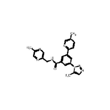 Cc1ccc(-c2cc(C(=O)NCc3cnc(C)cn3)cc(-n3nncc3C(F)(F)F)c2)nc1